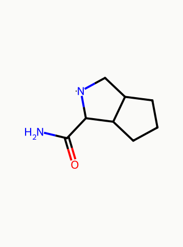 NC(=O)C1[N]CC2CCCC21